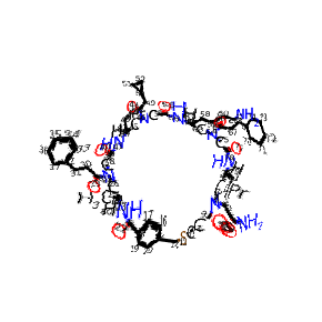 CC(C)C[C@H]1CN(CC(N)=O)C(=O)CCSCc2ccc(cc2)C(=O)N[C@@H](C)CN(C(=O)CCc2ccccc2)CC(=O)N[C@@H](CC(C)C)CN(C(=O)CC2CC2)CC(=O)N[C@@H](CCCCN)CN(C(=O)CCC2CCCCC2)CC(=O)N1